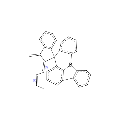 C=C1/C(=C\C=C/C)C2(c3ccccc3B3c4ccccc4-c4cccc2c43)c2ccccc21